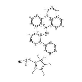 CC1=C(C)C(C)(C)[C]([Ti])=C1C.Cl.Cl.O=C(Nc1c(-c2ccccc2)cccc1-c1ccccc1)c1cccc2ccccc12